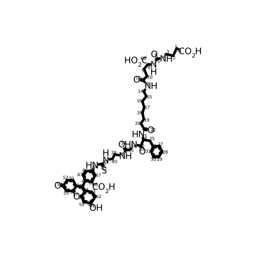 O=C(O)CCCNC(=O)NC(CCC(=O)NCCCCCCCC(=O)NC(Cc1ccccc1)C(=O)NCC(=O)NCCNC(=S)Nc1ccc(-c2c3ccc(=O)cc-3oc3cc(O)ccc23)c(C(=O)O)c1)C(=O)O